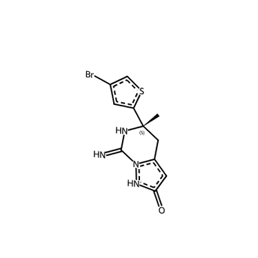 C[C@@]1(c2cc(Br)cs2)Cc2cc(=O)[nH]n2C(=N)N1